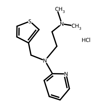 CN(C)CCN(Cc1ccsc1)c1ccccn1.Cl